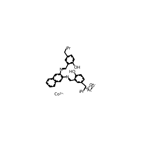 CC(=O)[O-].CC(=O)[O-].CC(C)Cc1ccc(O)c(C=Nc2cc3ccccc3cc2N=Cc2cc(CC(C)C)ccc2O)c1.[Co+2]